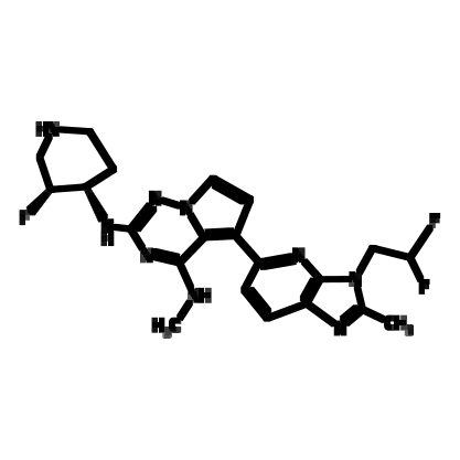 CNc1nc(N[C@@H]2CCNC[C@@H]2F)nn2ccc(-c3ccc4nc(C)n(CC(F)F)c4n3)c12